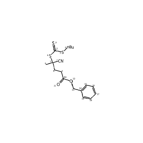 CCCCSC(=S)SC(C)(C#N)CCC(=O)OCc1ccccc1